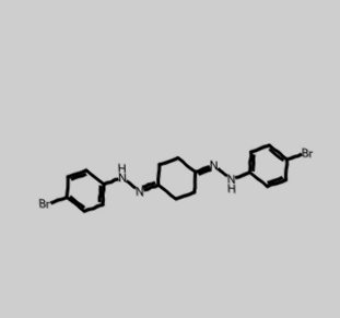 Brc1ccc(NN=C2CCC(=NNc3ccc(Br)cc3)CC2)cc1